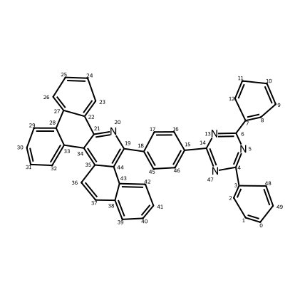 c1ccc(-c2nc(-c3ccccc3)nc(-c3ccc(-c4nc5c6ccccc6c6ccccc6c5c5ccc6ccccc6c45)cc3)n2)cc1